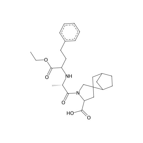 CCOC(=O)C(CCc1ccccc1)N[C@@H](C)C(=O)N1CC2(CC3CCC2C3)CC1C(=O)O